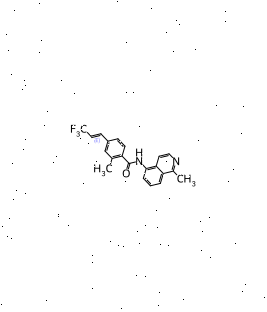 Cc1cc(/C=C/C(F)(F)F)ccc1C(=O)Nc1cccc2c(C)nccc12